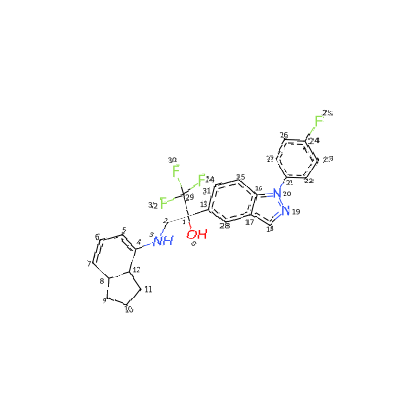 OC(CNC1=CC=CC2CCCC12)(c1ccc2c(cnn2-c2ccc(F)cc2)c1)C(F)(F)F